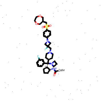 COC(=O)N[C@H]1CCC[C@@H]1C(c1cccc(F)c1)(C1CCN(CC2(F)CN(c3ccc(S(=O)(=O)CC4COCCOC4)cc3)C2)CC1)N1CCC1